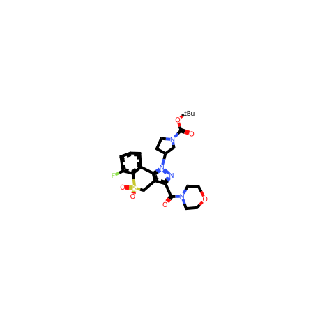 CC(C)(C)OC(=O)N1CCC(n2nc(C(=O)N3CCOCC3)c3c2-c2cccc(F)c2S(=O)(=O)C3)C1